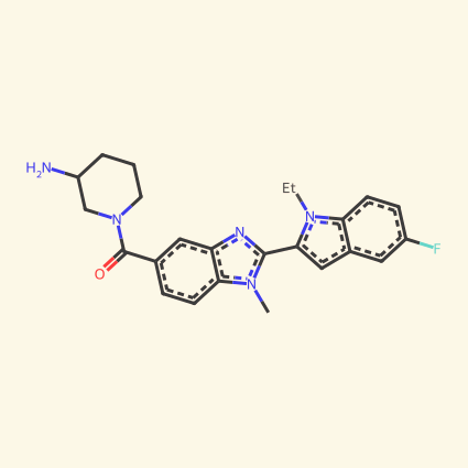 CCn1c(-c2nc3cc(C(=O)N4CCCC(N)C4)ccc3n2C)cc2cc(F)ccc21